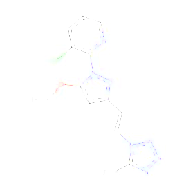 O=C(O)Oc1cc(/C=C/n2nnnc2C(F)(F)F)nn1-c1ncccc1Cl